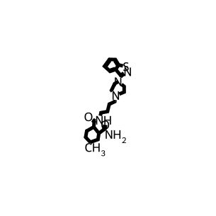 CC1CCC(C(=O)NCCCCN2CCN(c3nsc4ccccc34)CC2)C(C(N)=O)C1